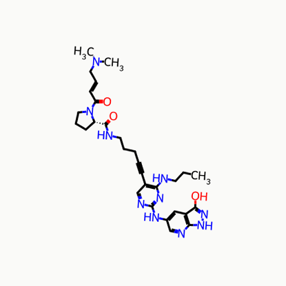 CCCNc1nc(Nc2cnc3[nH]nc(O)c3c2)ncc1C#CCCCNC(=O)[C@@H]1CCCN1C(=O)/C=C/CN(C)C